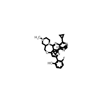 CN1CCN2/C(=N/c3c(C4CC4)ncnc3C3CC3)c3c(cc(-c4c(O)cccc4F)nc3NC=O)OCC2C1